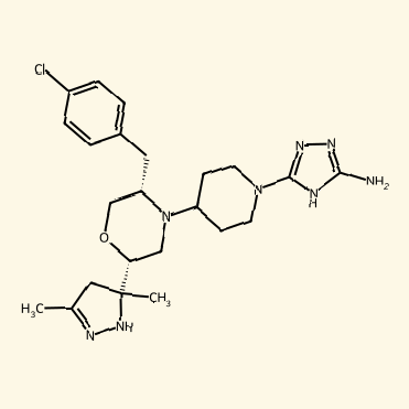 CC1=NNC(C)([C@H]2CN(C3CCN(c4nnc(N)[nH]4)CC3)[C@@H](Cc3ccc(Cl)cc3)CO2)C1